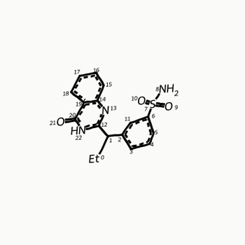 CCC(c1cccc(S(N)(=O)=O)c1)c1nc2ccccc2c(=O)[nH]1